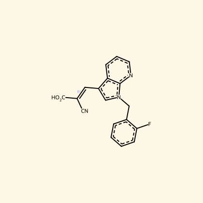 N#C/C(=C\c1cn(Cc2ccccc2F)c2ncccc12)C(=O)O